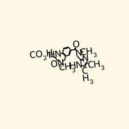 Cc1nc(CN(C)C(=O)c2ccc3c(c2)CN(C)C(=O)C(CC(=O)O)N3)[nH]c1C